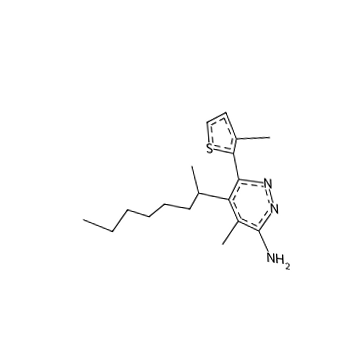 CCCCCCC(C)c1c(-c2sccc2C)nnc(N)c1C